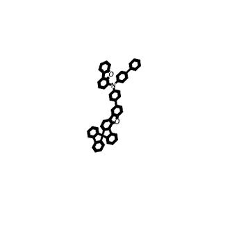 c1ccc(-c2ccc(N(c3ccc(-c4ccc5oc6c7c(ccc6c5c4)C4(c5ccccc5-c5ccccc54)c4ccccc4-7)cc3)c3cccc4c3oc3ccccc34)cc2)cc1